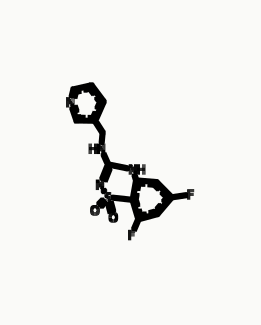 O=S1(=O)N=C(NCc2cccnc2)Nc2cc(F)cc(F)c21